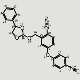 [C-]#[N+]c1ccc(Oc2ccc([N+]#N)c(COB3OCC(c4ccccc4)O3)c2)cc1